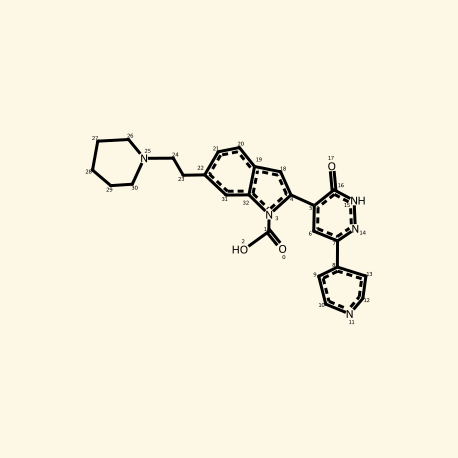 O=C(O)n1c(-c2cc(-c3ccncc3)n[nH]c2=O)cc2ccc(CCN3CCCCC3)cc21